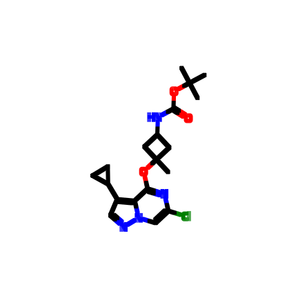 CC(C)(C)OC(=O)NC1CC(C)(Oc2nc(Cl)cn3ncc(C4CC4)c23)C1